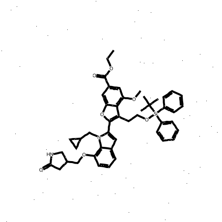 CCOC(=O)c1cc(OC)c2c(CCO[Si](c3ccccc3)(c3ccccc3)C(C)(C)C)c(-c3cc4cccc(OCC5CNC(=O)C5)c4n3CC3CC3)oc2c1